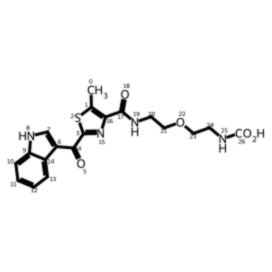 Cc1sc(C(=O)c2c[nH]c3ccccc23)nc1C(=O)NCCOCCNC(=O)O